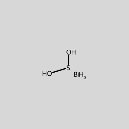 OSO.[BiH3]